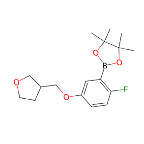 CC1(C)OB(c2cc(OCC3CCOC3)ccc2F)OC1(C)C